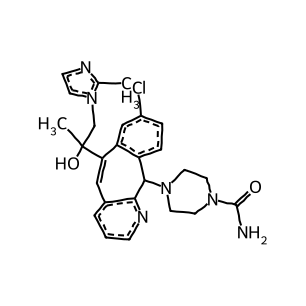 Cc1nccn1CC(C)(O)C1=Cc2cccnc2C(N2CCN(C(N)=O)CC2)c2ccc(Cl)cc21